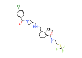 CC1=C(C(=O)NCCSC(F)(F)F)C=CC/C1=C\NCC1CN(C(=O)c2ccc(Cl)cc2)C1